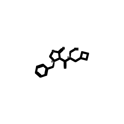 O=C1OC[C@@H](Cc2ccccc2)N1C(=O)[C@H](CO)CC1CCC1